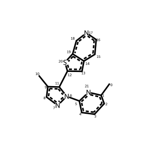 Cc1cccc(-n2ncc(C)c2-c2cc3ccncc3s2)n1